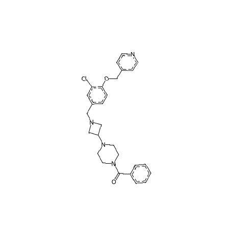 O=C(c1ccccc1)N1CCN(C2CN(Cc3ccc(OCc4ccncc4)c(Cl)c3)C2)CC1